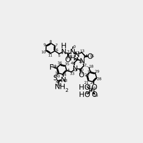 CN(C(=O)NCc1ccccc1)N1CC(=O)N2[C@H](Cc3ccc(OP(=O)(O)O)cc3)C(=O)N(Cc3ccc(F)c4sc(N)nc34)C[C@@H]21